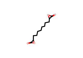 O=C1O[C]1CCCCCCCC[C]1OC1=O